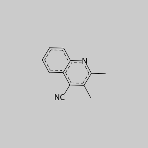 Cc1nc2ccccc2c(C#N)c1C